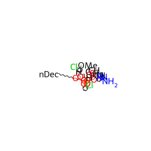 CCCCCCCCCCCCCCCCCCOC[C@H](COP(=O)(OC[C@H]1O[C@@](C#N)(c2ccc3c(N)ncnn23)[C@@H]2OC(C)(C)O[C@@H]21)Oc1ccccc1Cl)OCc1ccc(OC)c(Cl)c1